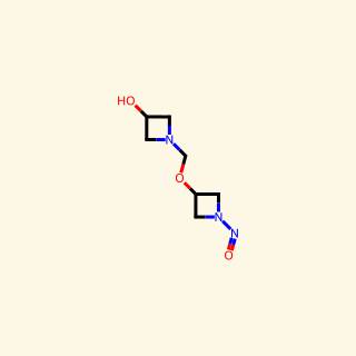 O=NN1CC(OCN2CC(O)C2)C1